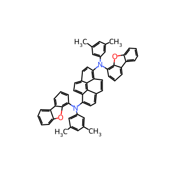 Cc1cc(C)cc(N(c2ccc3ccc4c(N(c5cc(C)cc(C)c5)c5cccc6c5oc5ccccc56)ccc5ccc2c3c54)c2cccc3c2oc2ccccc23)c1